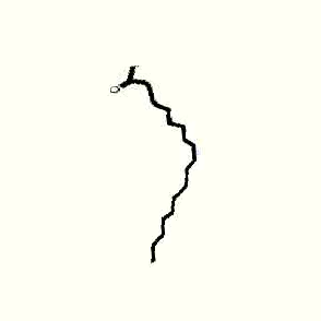 [CH2]C(=O)CCCCCC/C=C\CCCCCCCC